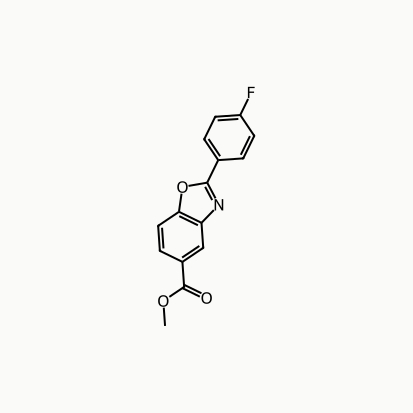 COC(=O)c1ccc2oc(-c3ccc(F)cc3)nc2c1